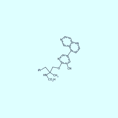 CC(C)CC(C)(COc1ncc(-c2ccnc3ccncc23)cc1C#N)NC(=O)O